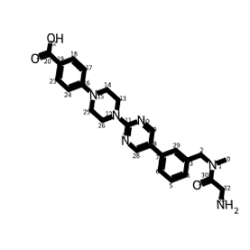 CN(Cc1cccc(-c2cnc(N3CCN(c4ccc(C(=O)O)cc4)CC3)nc2)c1)C(=O)CN